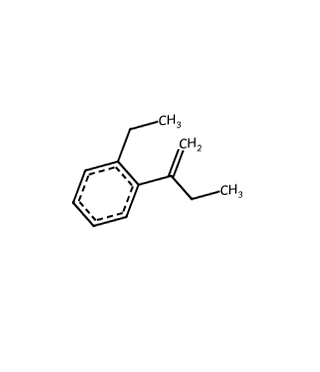 C=C(CC)c1ccccc1CC